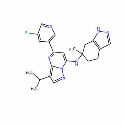 CC(C)c1cnn2c(NC3(C)CCc4cn[nH]c4C3)cc(-c3cncc(F)c3)nc12